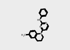 Cc1ccc2c(c1)CCCN2c1ccnc(Nc2ccccc2)n1